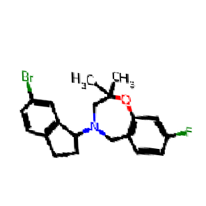 CC1(C)CN(C2CCc3ccc(Br)cc32)Cc2ccc(F)cc2O1